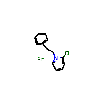 Clc1cccc[n+]1CCc1ccccc1.[Br-]